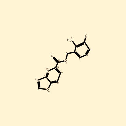 Cc1c(Br)cccc1COC(=O)c1ccc2ocnc2n1